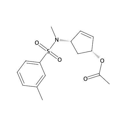 CC(=O)O[C@H]1C=C[C@@H](N(C)S(=O)(=O)c2cccc(C)c2)C1